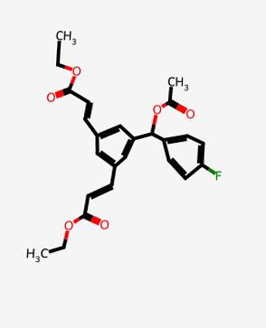 CCOC(=O)C=Cc1cc(C=CC(=O)OCC)cc(C(OC(C)=O)c2ccc(F)cc2)c1